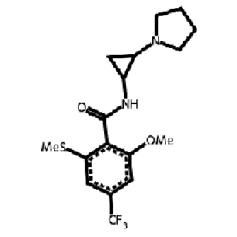 COc1cc(C(F)(F)F)cc(SC)c1C(=O)NC1CC1N1CCCC1